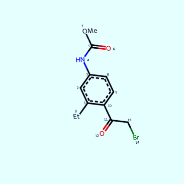 CCc1cc(NC(=O)OC)ccc1C(=O)CBr